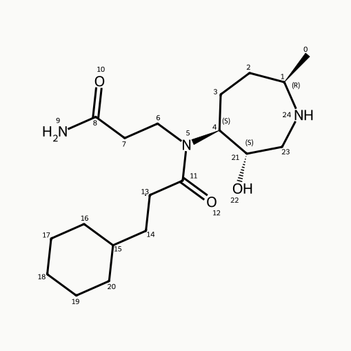 C[C@@H]1CC[C@H](N(CCC(N)=O)C(=O)[CH]CC2CCCCC2)[C@@H](O)CN1